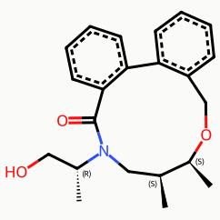 C[C@@H]1OCc2ccccc2-c2ccccc2C(=O)N([C@H](C)CO)C[C@@H]1C